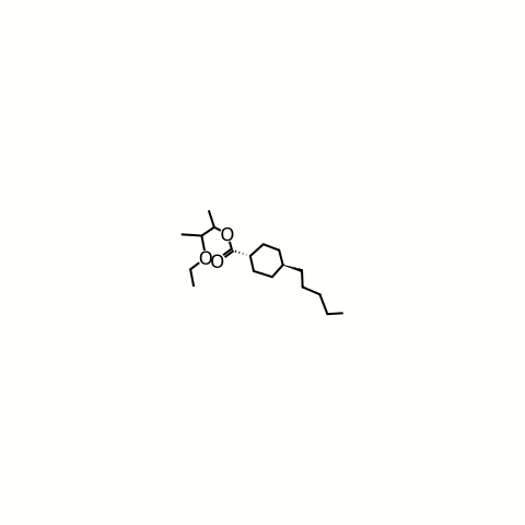 CCCCC[C@H]1CC[C@H](C(=O)OC(C)C(C)OCC)CC1